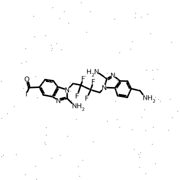 NCc1ccc2c(c1)nc(N)n2CC(F)(F)C(F)(F)Cn1c(N)nc2cc(C(=O)I)ccc21